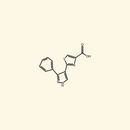 O=C(O)c1csc(-c2c[nH]nc2-c2ccccc2)n1